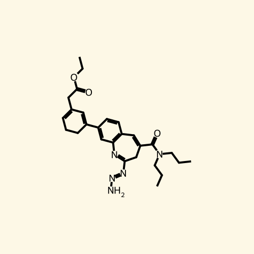 CCCN(CCC)C(=O)C1=Cc2ccc(C3=CC(CC(=O)OCC)=CCC3)cc2N=C(N=NN)C1